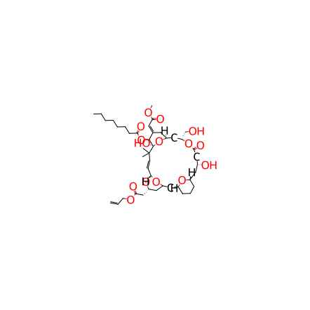 C=CCOC(=O)C[C@H]1CC2C[C@H]3CCC[C@@H](C[C@@H](O)CC(=O)O[C@@H](CO)C[C@@H]4C/C(=C\C(=O)OC)[C@H](OC(=O)CCCCCCC)[C@@](O)(O4)C(C)(C)/C=C/[C@H](O2)O1)O3